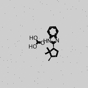 C[C@@H]1CC[C@H](c2nc3ccccc3[nH]2)C1(C)C.O=C(O)O